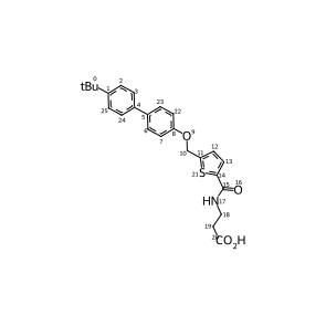 CC(C)(C)c1ccc(-c2ccc(OCc3ccc(C(=O)NCCC(=O)O)s3)cc2)cc1